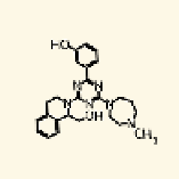 CN1CCCN(c2nc(-c3cccc(O)c3)nc(N3CCc4ccccc4C3CO)n2)CC1